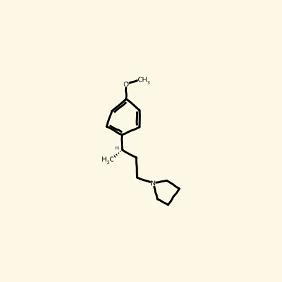 COc1ccc([C@@H](C)CCN2CCCC2)cc1